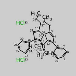 CCCC1=CC(c2ccccc2)=[C]([Ti]([CH3])([CH3])(=[SiH2])[C]2=C(c3ccccc3)C=C(CCC)C2)C1.Cl.Cl